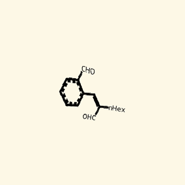 CCCCCCC(C=O)=Cc1ccccc1C=O